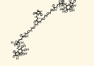 CC(C)(CCC(=O)NCCOCCOCCN(CCOCCOCCNC(=O)CCC(C)(C)C(=O)OC[C@@H]1[C@@H](O)[C@H](O)[C@H](O)[C@H]2NC(=O)C(=O)N12)C(=O)CCN1C(=O)C=CC1=O)C(=O)OC[C@@H]1[C@@H](O)[C@H](O)[C@H](O)[C@H]2NC(=O)C(=O)N12